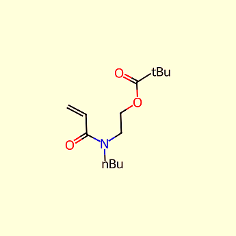 C=CC(=O)N(CCCC)CCOC(=O)C(C)(C)C